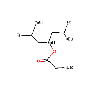 CCCCCCCCCCCC(=O)[O][SnH]([CH2]C(CC)CCCC)[CH2]C(CC)CCCC